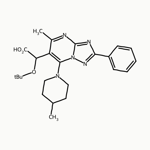 Cc1nc2nc(-c3ccccc3)nn2c(N2CCC(C)CC2)c1C(OC(C)(C)C)C(=O)O